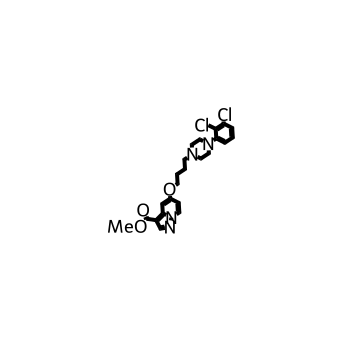 COC(=O)c1cnn2ccc(OCCCCN3CCN(c4cccc(Cl)c4Cl)CC3)cc12